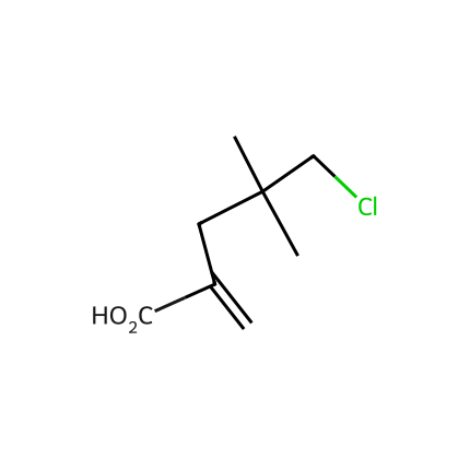 C=C(CC(C)(C)CCl)C(=O)O